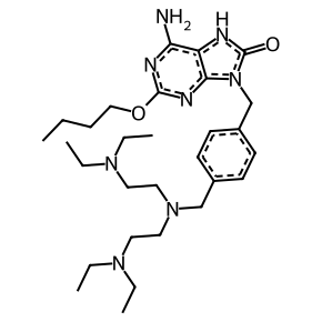 CCCCOc1nc(N)c2[nH]c(=O)n(Cc3ccc(CN(CCN(CC)CC)CCN(CC)CC)cc3)c2n1